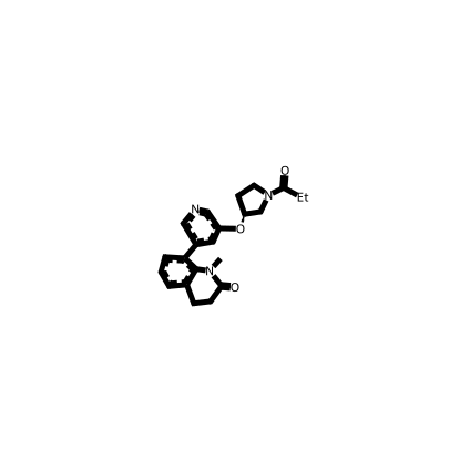 CCC(=O)N1CC[C@@H](Oc2cncc(-c3cccc4c3N(C)C(=O)CC4)c2)C1